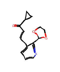 O=C(/C=C/c1cccnc1C1OCCO1)C1CC1